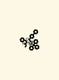 CCc1cc(OC(c2ccc(-c3ccccc3)cc2)c2nnn(C(c3ccccc3)(c3ccccc3)c3ccccc3)n2)c2ccccc2n1